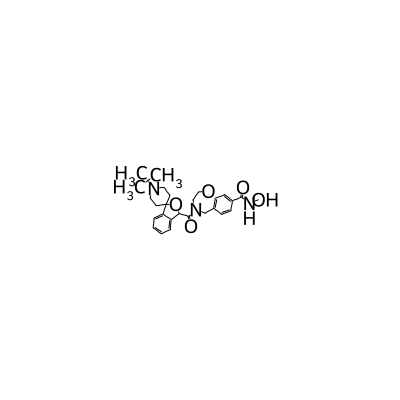 CC(C)(C)N1CCC2(CC1)OC(C(=O)N1CCOc3cc(C(=O)NO)ccc3C1)c1ccccc12